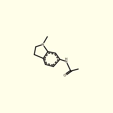 CC(=O)Nc1ccc2c(c1)N(C)CC2